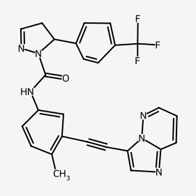 Cc1ccc(NC(=O)N2N=CCC2c2ccc(C(F)(F)F)cc2)cc1C#Cc1cnc2cccnn12